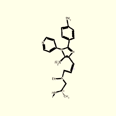 CCN(C/C=C\c1nc(-c2ccc(P)cc2)n(-c2ccncc2)c1N)C[C@H](C)NI